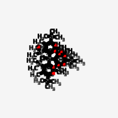 Cc1c([Si](C)(C)C)cc([Si](C)(C)C)c([Si](Cl)(c2c([Si](C)(C)C)cc([Si](C)(C)C)c(C)c2[Si](C)(C)C)c2c([Si](C)(C)C)cc([Si](C)(C)C)c(C)c2[Si](C)(C)C)c1[Si](C)(C)C